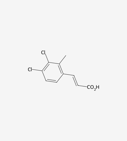 Cc1c(C=CC(=O)O)ccc(Cl)c1Cl